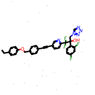 CCc1ccc(OCc2ccc(C#Cc3ccc(C(F)(F)C(O)(Cn4cnnn4)c4ccc(F)cc4F)nc3)cc2)cc1